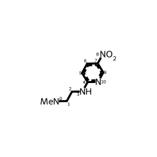 CNCCNc1ccc([N+](=O)[O-])cn1